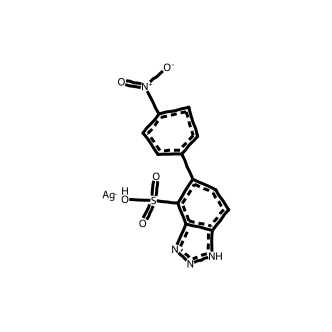 O=[N+]([O-])c1ccc(-c2ccc3[nH]nnc3c2S(=O)(=O)O)cc1.[Ag]